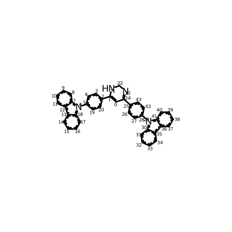 C1=C(c2ccc(-n3c4ccccc4c4ccccc43)cc2)NCN=C1c1ccc(-n2c3ccccc3c3ccccc32)cc1